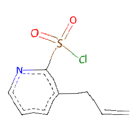 C=CCc1cccnc1S(=O)(=O)Cl